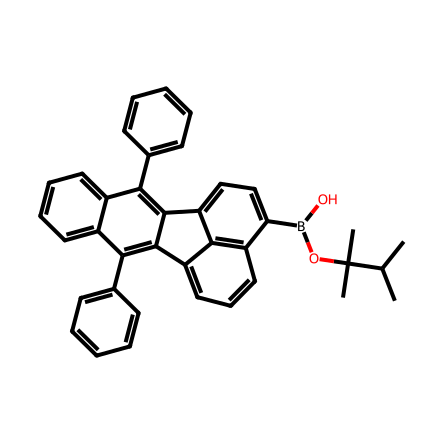 CC(C)C(C)(C)OB(O)c1ccc2c3c(cccc13)-c1c-2c(-c2ccccc2)c2ccccc2c1-c1ccccc1